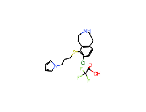 Clc1ccc2c(c1SCCCn1cccc1)CCNCC2.O=C(O)C(F)(F)F